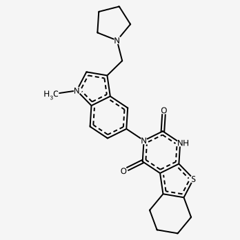 Cn1cc(CN2CCCC2)c2cc(-n3c(=O)[nH]c4sc5c(c4c3=O)CCCC5)ccc21